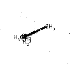 CCCCC=CCC=CCC=CCC=CCCCCCO[SiH2]C(C)(C)C